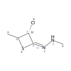 CN/N=C1/SC(C)[C@@H]1Cl